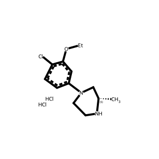 CCOc1cc(N2CCN[C@@H](C)C2)ccc1Cl.Cl.Cl